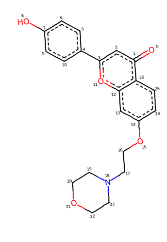 O=c1cc(-c2ccc(O)cc2)oc2cc(OCCN3CCOCC3)ccc12